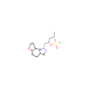 CCCC(Cn1ncc2ccc3occc3c21)OS(C)(=O)=O